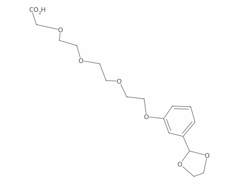 O=C(O)COCCOCCOCCOc1cccc(C2OCCO2)c1